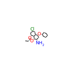 C=CC(=O)Oc1c(N)cc(Oc2ccccc2)c2cc(Cl)ccc12